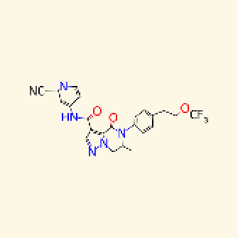 CC1Cn2ncc(C(=O)Nc3ccnc(C#N)c3)c2C(=O)N1c1ccc(CCOC(F)(F)F)cc1